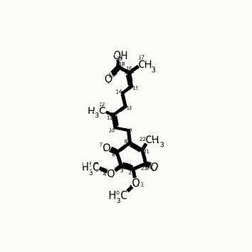 COC1=C(OC)C(=O)C(CC=C(C)CCC=C(C)C(=O)O)=C(C)C1=O